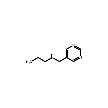 NCCNCc1cncnc1